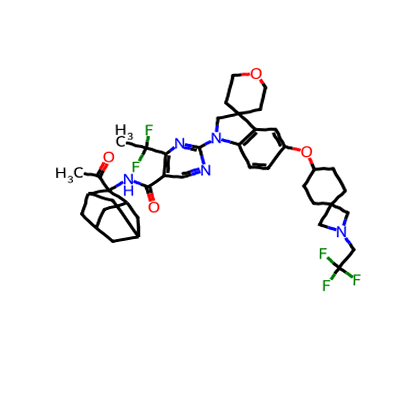 CC(=O)C1(NC(=O)c2cnc(N3CC4(CCOCC4)c4cc(OC5CCC6(CC5)CN(CC(F)(F)F)C6)ccc43)nc2C(C)(F)F)C2CC3CC(C2)CC1C3